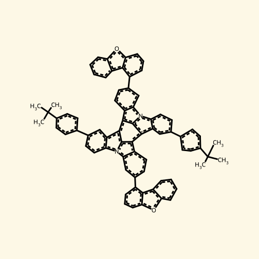 CC(C)(C)c1ccc(-c2ccc3c(c2)c2c4c5ccc(-c6cccc7oc8ccccc8c67)cc5n5c6ccc(-c7ccc(C(C)(C)C)cc7)cc6c(c6c7ccc(-c8cccc9oc%10ccccc%10c89)cc7n3c26)c45)cc1